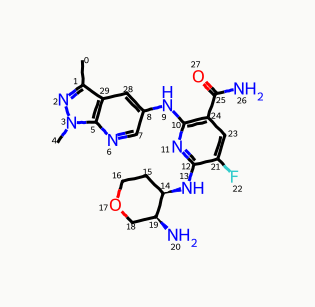 Cc1nn(C)c2ncc(Nc3nc(N[C@@H]4CCOC[C@@H]4N)c(F)cc3C(N)=O)cc12